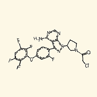 Nc1ncnc2c1c(-c1ccc(Oc3c(F)c(F)cc(F)c3F)cc1F)nn2C1CCN(C(=O)CCl)C1